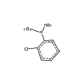 CCCCP(CCCC)c1ccccc1Cl